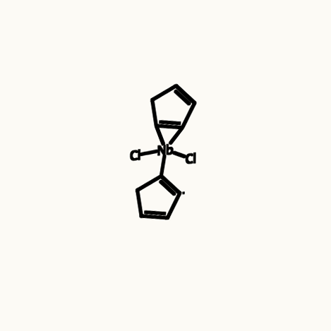 [Cl][Nb]1([Cl])([C]2=[C]C=CC2)[C]2=[C]1CC=C2